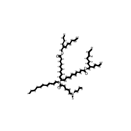 CCCCCCCCCCN(C(=O)CCCCN(C)CCCC)C(CCCCCCCCC(=O)OCC(CCCC)CCCCCC)CCCCCCCCC(=O)OCC(CCCC)CCCCCC